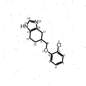 Clc1ccccc1OCC1CCc2[nH]cnc2C1